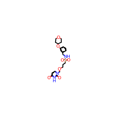 O=c1ccn(COCCCS(=O)(=O)NCc2cccc(OC3CCOCC3)c2)c(=O)[nH]1